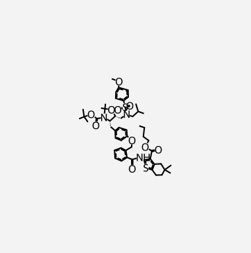 CCCCOC(=O)c1c(NC(=O)c2ccccc2COc2ccc(C[C@H]3[C@@H](CN(CC(C)C)S(=O)(=O)c4ccc(OC)cc4)OC(C)(C)N3C(=O)OC(C)(C)C)cc2)sc2c1CC(C)(C)CC2